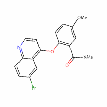 CNC(=O)c1cc(OC)ccc1Oc1ccnc2ccc(Br)cc12